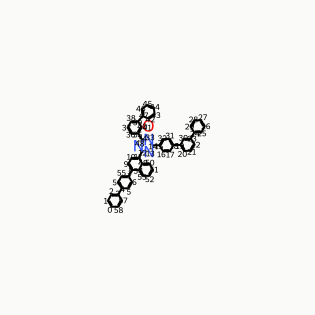 c1ccc(-c2ccc(-c3ccc(-c4nc(-c5ccc(-c6cccc(-c7ccccc7)c6)cc5)nc(-c5cccc6c5oc5ccccc56)n4)c4ccccc34)cc2)cc1